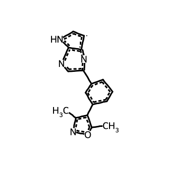 Cc1noc(C)c1-c1cccc(-c2cnc3[nH]c[c]c3n2)c1